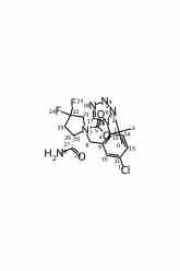 CC(C)(C)OC(=O)[N+]1(Cc2cc(Cl)ccc2-n2cnnn2)CC(F)(F)C[C@H]1C(N)=O